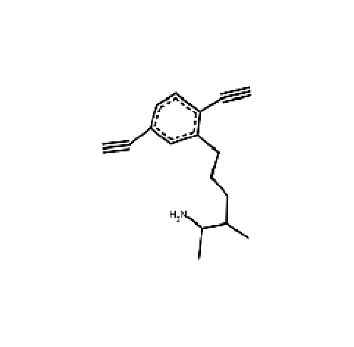 C#Cc1ccc(C#C)c(CCCC(C)C(C)N)c1